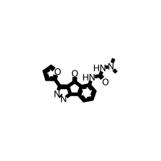 CN(C)NC(=O)Nc1cccc2c1C(=O)C1=C(c3ccco3)N=NC12